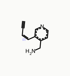 C#C/C=C\c1cnccc1CN